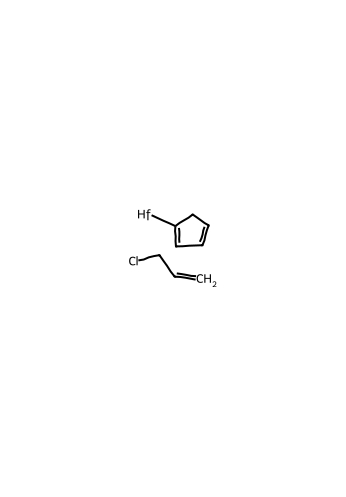 C=CCCl.[Hf][C]1=CC=CC1